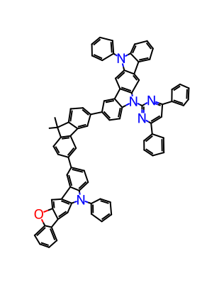 CC1(C)c2ccc(-c3ccc4c(c3)c3cc5oc6ccccc6c5cc3n4-c3ccccc3)cc2-c2cc(-c3ccc4c(c3)c3cc5c(cc3n4-c3nc(-c4ccccc4)cc(-c4ccccc4)n3)c3ccccc3n5-c3ccccc3)ccc21